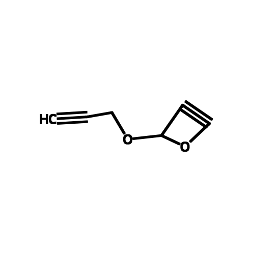 C#CCOC1C#CO1